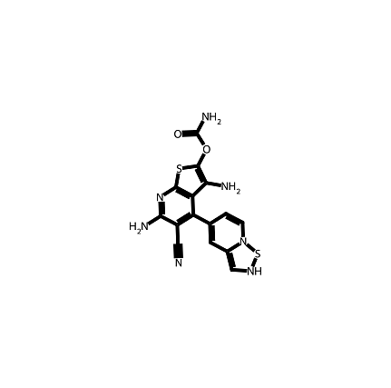 N#Cc1c(N)nc2sc(OC(N)=O)c(N)c2c1C1=CC2=CNSN2C=C1